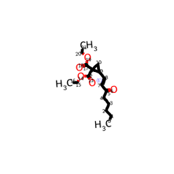 CCCCCC(=O)/C=C/C1CC1(C(=O)OCC)C(=O)OCC